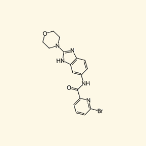 O=C(Nc1ccc2nc(N3CCOCC3)[nH]c2c1)c1cccc(Br)n1